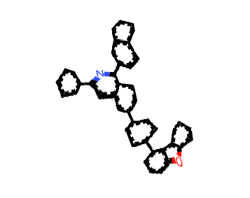 c1ccc(-c2cc3cc(-c4ccc(-c5cccc6oc7ccccc7c56)cc4)ccc3c(-c3ccc4ccccc4c3)n2)cc1